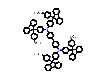 CCCCCCCCc1ccc(C2(c3ccc(N(c4ccc(-c5ccc(N(c6ccc(C7(c8ccc(CCCCCCCC)cc8)c8ccccc8-c8ccccc87)cc6)c6ccc(C7(c8ccc(CCCCCCCC)cc8)c8ccccc8-c8ccccc87)cc6)cc5)cc4)c4ccc(C5(c6ccc(CCCCCCCC)cc6)c6ccccc6-c6ccccc65)cc4)cc3)c3ccccc3-c3ccccc32)cc1